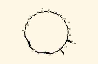 CC1C/C=C/CC/C=C/CCCCCCCCCCCCCCC(=O)O1